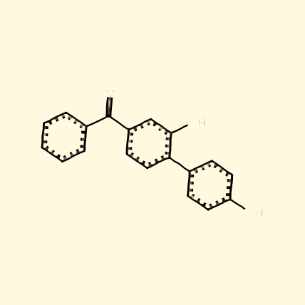 O=C(c1ccccc1)c1ccc(-c2ccc(O)cc2)c(O)c1